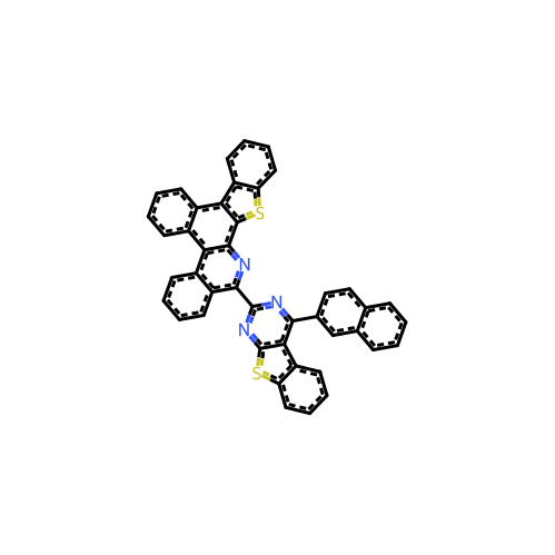 c1ccc2cc(-c3nc(-c4nc5c6sc7ccccc7c6c6ccccc6c5c5ccccc45)nc4sc5ccccc5c34)ccc2c1